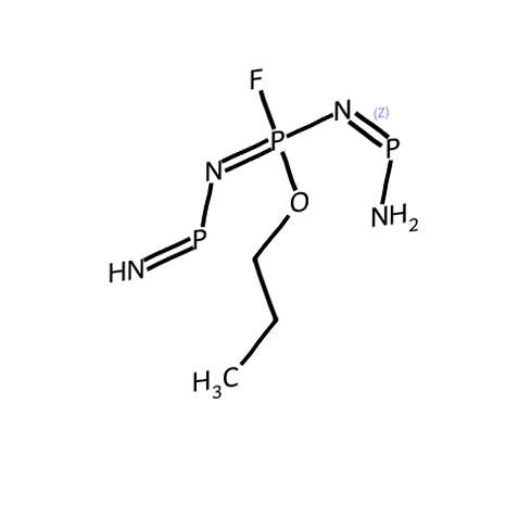 CCCOP(F)(=NP=N)/N=P\N